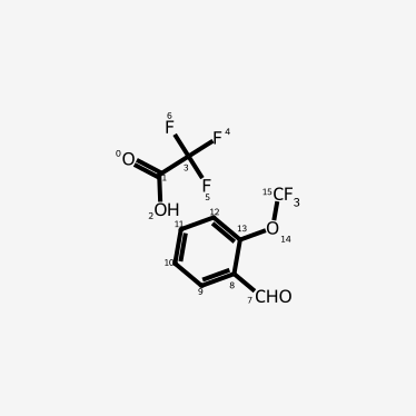 O=C(O)C(F)(F)F.O=Cc1ccccc1OC(F)(F)F